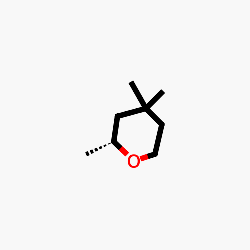 C[C@@H]1CC(C)(C)CCO1